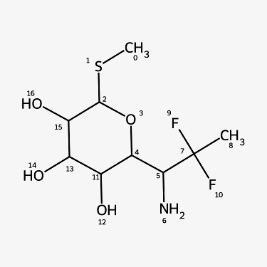 CSC1OC(C(N)C(C)(F)F)C(O)C(O)C1O